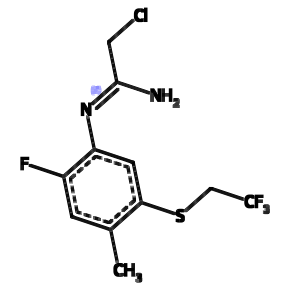 Cc1cc(F)c(/N=C(\N)CCl)cc1SCC(F)(F)F